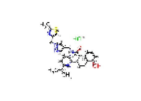 Cc1nc(Cn2cc(CN(C(=O)C3CCCc4c(O)cccc43)c3ccc(C(C)C)nc3)cn2)cs1.Cl